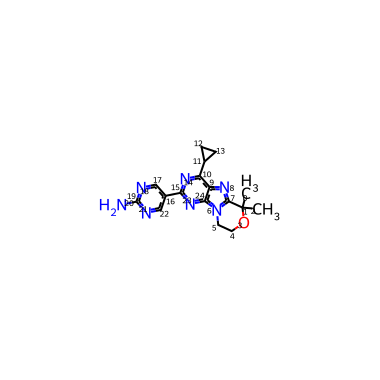 CC1(C)OCCn2c1nc1c(C3CC3)nc(-c3cnc(N)nc3)nc12